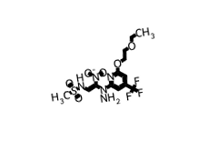 CCOCCOc1cc(C(F)(F)F)cc(N(N)C(=CNS(C)(=O)=O)[N+](=O)[O-])n1